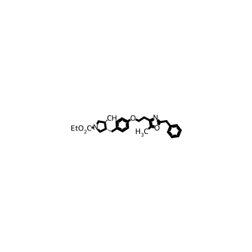 CCOC(=O)N1C[C@@H](Cc2ccc(OCCc3nc(Cc4ccccc4)oc3C)cc2)[C@@H](C)C1